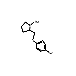 CCCCN1CCCC1COc1ccc([N+](=O)[O-])cc1